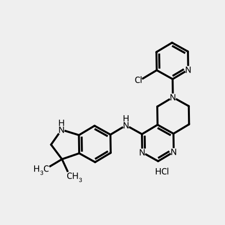 CC1(C)CNc2cc(Nc3ncnc4c3CN(c3ncccc3Cl)CC4)ccc21.Cl